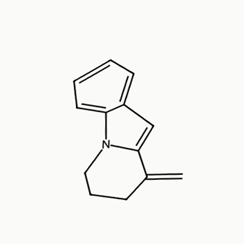 C=C1CCCn2c1cc1ccccc12